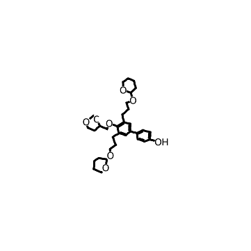 Oc1ccc(-c2cc(CCCOC3CCCCO3)c(OCC3CCOCC3)c(CCCOC3CCCCO3)c2)cc1